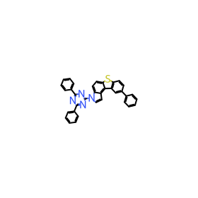 c1ccc(-c2ccc3sc4ccc5c(ccn5-c5nc(-c6ccccc6)nc(-c6ccccc6)n5)c4c3c2)cc1